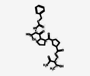 C[C@@H](O)[C@H](N=NC(=O)C1CCN(C(=O)[C@H]2CCCN2C(=O)[C@@H](NC(=O)OCc2ccccc2)[C@@H](C)O)C1)C(N)=O